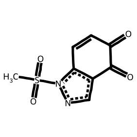 CS(=O)(=O)n1ncc2c1C=CC(=O)C2=O